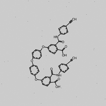 C#Cc1ccc(NC(=O)c2cc(Oc3ccc(Oc4ccc(Oc5ccc(C(=O)O)c(C(=O)Nc6ccc(C#C)cc6)c5)cc4)cc3)ccc2C(=O)O)cc1